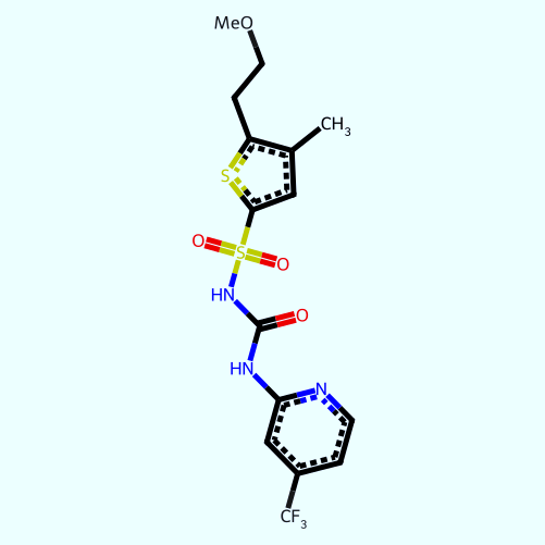 COCCc1sc(S(=O)(=O)NC(=O)Nc2cc(C(F)(F)F)ccn2)cc1C